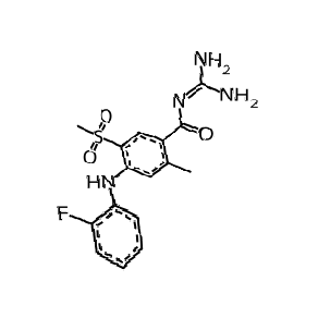 Cc1cc(Nc2ccccc2F)c(S(C)(=O)=O)cc1C(=O)N=C(N)N